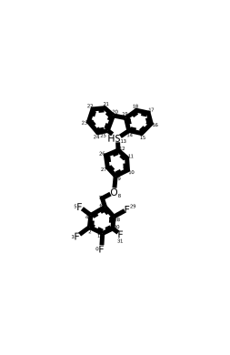 Fc1c(F)c(F)c(COc2ccc([SH]3c4ccccc4-c4ccccc43)cc2)c(F)c1F